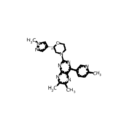 Cc1ccc(-c2nc(N3CCO[C@@H](c4cnn(C)c4)C3)nc3nc(C)c(C)nc23)cn1